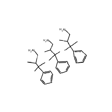 CC([CH2][AlH2])C(C)(C)c1ccccc1.CC([CH2][AlH2])C(C)(C)c1ccccc1.CC([CH2][AlH2])C(C)(C)c1ccccc1